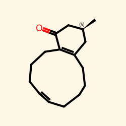 C[C@@H]1CC(=O)C2=C(CCCCC=CCCC2)C1